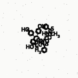 CN(NC(=O)CC(=O)NN(C)C(=S)c1ccccc1)C(=S)c1ccccc1.Cc1c(O)ccc2c1OC[C@@H](c1ccc(O)cc1)[C@H]2c1ccc(O)cc1